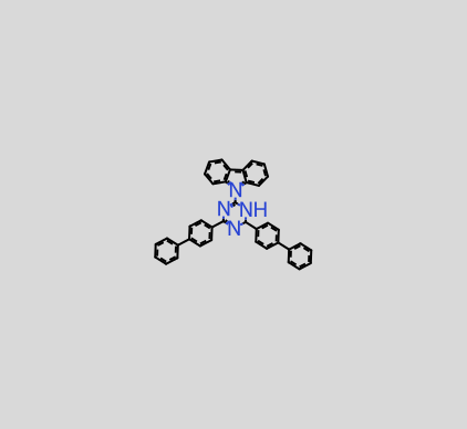 c1ccc(-c2ccc(C3=NC(c4ccc(-c5ccccc5)cc4)NC(n4c5ccccc5c5ccccc54)=N3)cc2)cc1